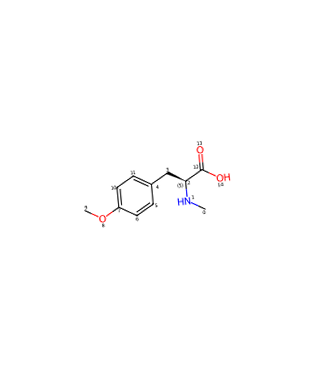 CN[C@@H](Cc1ccc(OC)cc1)C(=O)O